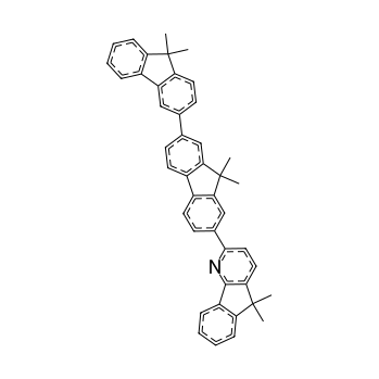 CC1(C)c2ccccc2-c2cc(-c3ccc4c(c3)C(C)(C)c3cc(-c5ccc6c(n5)-c5ccccc5C6(C)C)ccc3-4)ccc21